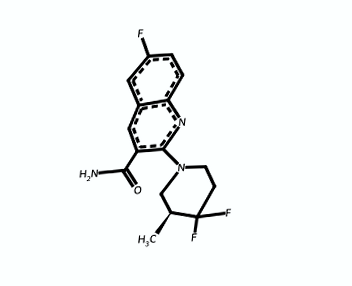 C[C@H]1CN(c2nc3ccc(F)cc3cc2C(N)=O)CCC1(F)F